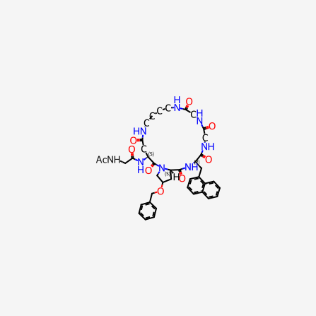 CC(=O)NCC(=O)N[C@H]1CC(=O)NCCCCNC(=O)CNC(=O)CNC(=O)[C@@H](Cc2cccc3ccccc23)NC(=O)[C@@H]2CC(OCc3ccccc3)CN2C1=O